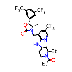 CCC(=O)N1CCC(Nc2ncc(C(F)(F)F)cc2CN2C(=O)O[C@H](c3cc(C(F)(F)F)cc(C(F)(F)F)c3)[C@@H]2C)CC1CC